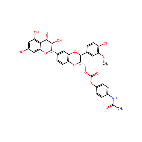 COc1cc(C2Oc3cc([C@@H]4Oc5cc(O)cc(O)c5C(=O)C4O)ccc3O[C@H]2COC(=O)Oc2ccc(NC(C)=O)cc2)ccc1O